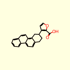 O=C(O)c1occc1C1CCc2ccc3c(ccc4ccccc43)c2C1